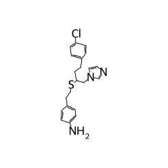 Nc1ccc(CCSC(CCc2ccc(Cl)cc2)Cn2ccnc2)cc1